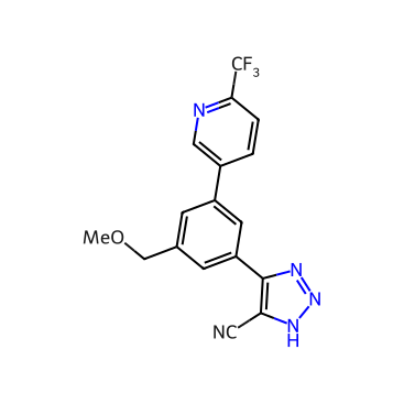 COCc1cc(-c2ccc(C(F)(F)F)nc2)cc(-c2nn[nH]c2C#N)c1